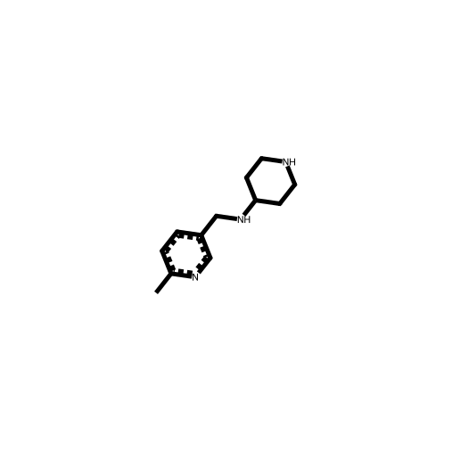 Cc1ccc(CNC2CCNCC2)cn1